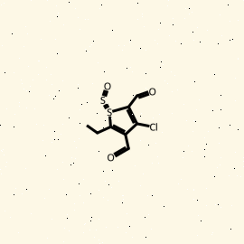 CCC1=C(C=O)C(Cl)=C(C=O)S1=S=O